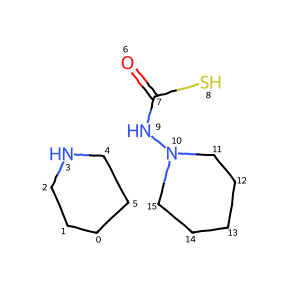 C1CCNCC1.O=C(S)NN1CCCCC1